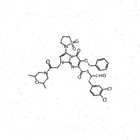 CC1CN(C(=O)Cn2cc(N3CCCS3(=O)=O)n3c(=O)c(OCc4ccccc4)c(C(=O)SC(C=O)Cc4ccc(Cl)c(Cl)c4)nc23)CC(C)O1